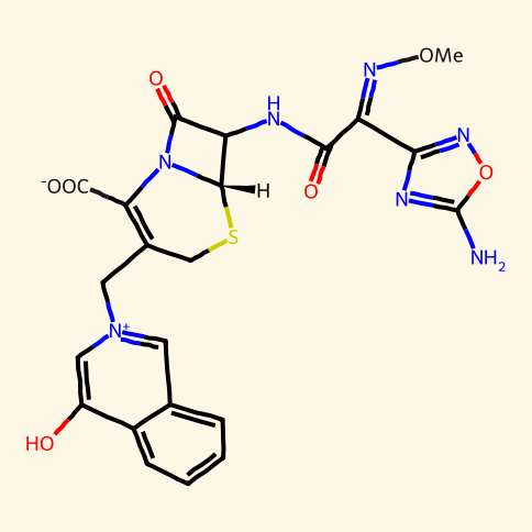 CON=C(C(=O)NC1C(=O)N2C(C(=O)[O-])=C(C[n+]3cc(O)c4ccccc4c3)CS[C@@H]12)c1noc(N)n1